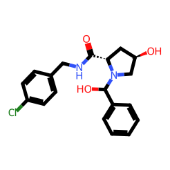 O=C(NCc1ccc(Cl)cc1)[C@@H]1C[C@@H](O)CN1C(O)c1ccccc1